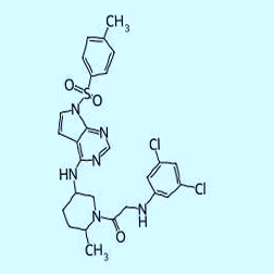 Cc1ccc(S(=O)(=O)n2ccc3c(NC4CCC(C)N(C(=O)CNc5cc(Cl)cc(Cl)c5)C4)ncnc32)cc1